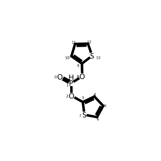 O=[PH](Oc1cccs1)Oc1cccs1